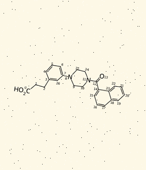 O=C(O)CCc1cccc(N2CCN(C(=O)c3cccc4ccccc34)CC2)c1